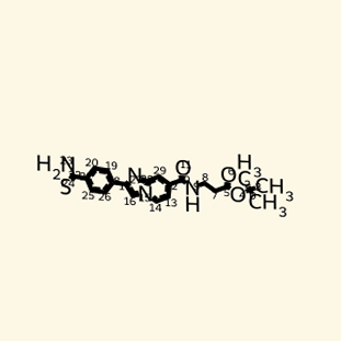 CC(C)(C)OC(=O)CCNC(=O)c1ccn2cc(-c3ccc(C(N)=S)cc3)nc2c1